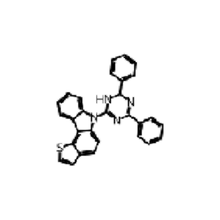 c1ccc(C2=NC(c3ccccc3)NC(n3c4ccccc4c4c5sccc5ccc43)=N2)cc1